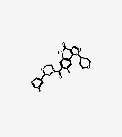 Cc1cc2c(cc1C(=O)N1CCOC(c3cccc(F)c3)C1)[nH]c(=O)c1cnn(C3CCOCC3)c12